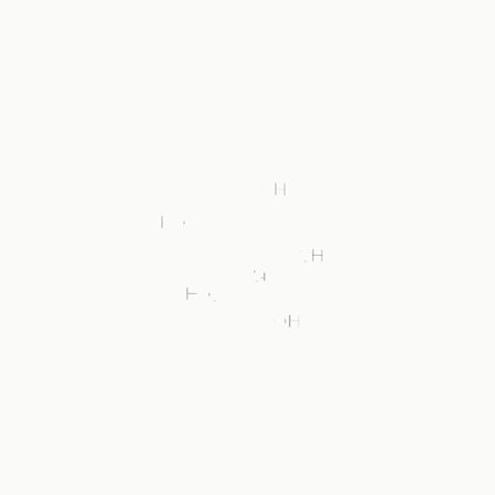 CC(C)[Si](C)(C)O